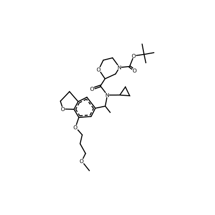 COCCCOc1cc(C(C)N(C(=O)C2CN(C(=O)OC(C)(C)C)CCO2)C2CC2)cc2c1OCC2